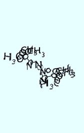 COc1cc(-c2cncc(CN3CCC(N(Cc4cncc(-c5cc(OC)c(OC)c(OC)c5)c4)c4ccccc4)CC3)c2)cc(OC)c1OC